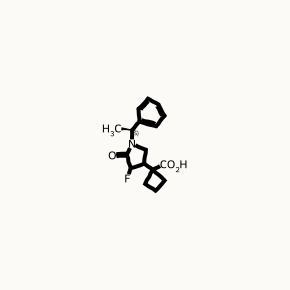 C[C@@H](c1ccccc1)N1CC(C2(C(=O)O)CCC2)C(F)C1=O